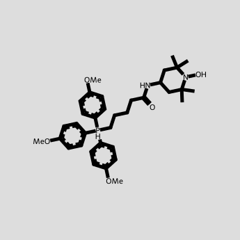 COc1ccc([PH](CCCCC(=O)NC2CC(C)(C)N(O)C(C)(C)C2)(c2ccc(OC)cc2)c2ccc(OC)cc2)cc1